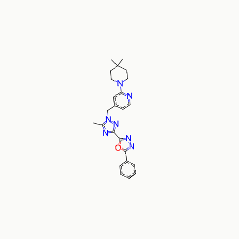 Cc1nc(-c2nnc(-c3ccccc3)o2)nn1Cc1ccnc(N2CCC(C)(C)CC2)c1